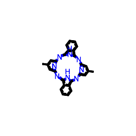 Cc1cc2nc(c1)nc1[nH]c(nc3cc(C)cc(n3)nc3[nH]c(n2)c2ccccc32)c2ccccc12